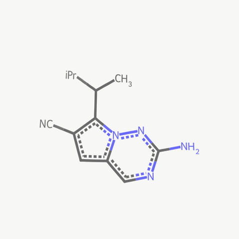 CC(C)C(C)c1c(C#N)cc2cnc(N)nn12